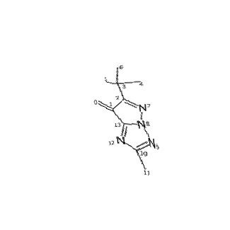 C=c1c(C(C)(C)C)nn2nc(C)nc12